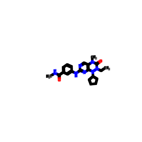 CCN1C(=O)N(C)c2cnc(Nc3cccc(C(=O)NC)c3)nc2N1C1CCCC1